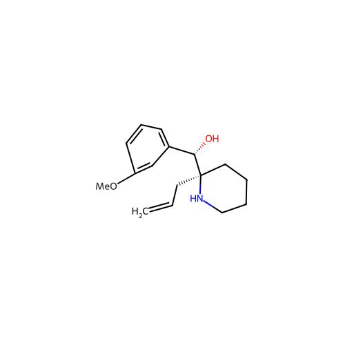 C=CC[C@]1([C@@H](O)c2cccc(OC)c2)CCCCN1